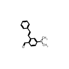 CN(C)c1ccc(C=O)c(C=Cc2ccccc2)c1